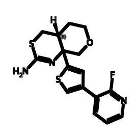 NC1=NC2(c3cc(-c4cccnc4F)cs3)COCC[C@H]2CS1